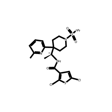 CCCS(=O)(=O)N1CCC(c2cccc(C)n2)([C@H](C)NC(=O)c2cc(Cl)sc2Cl)CC1